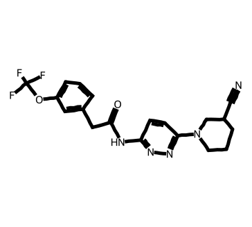 N#CC1CCCN(c2ccc(NC(=O)Cc3cccc(OC(F)(F)F)c3)nn2)C1